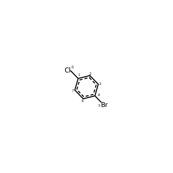 Clc1[c]cc(Br)cc1